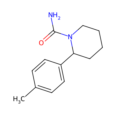 Cc1ccc(C2CCCCN2C(N)=O)cc1